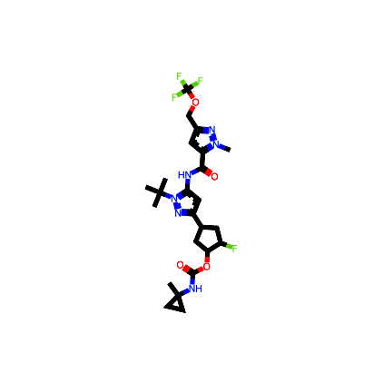 Cn1nc(COC(F)(F)F)cc1C(=O)Nc1cc(C2CC(F)C(OC(=O)NC3(C)CC3)C2)nn1C(C)(C)C